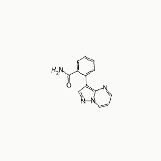 NC(=O)c1ccccc1-c1cnn2cccnc12